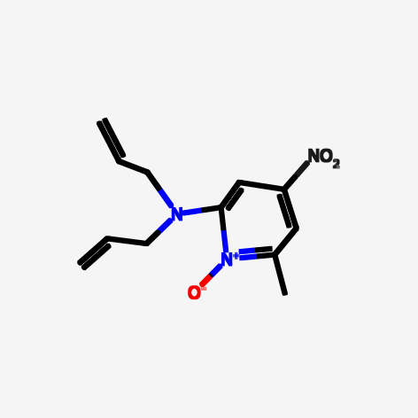 C=CCN(CC=C)c1cc([N+](=O)[O-])cc(C)[n+]1[O-]